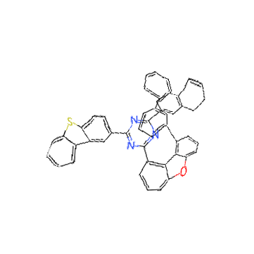 C1=Cc2ccc(-c3nc(-c4ccc5sc6ccccc6c5c4)nc(-c4cccc5oc6cccc(-c7cccc(-c8ccccc8)c7)c6c45)n3)cc2CC1